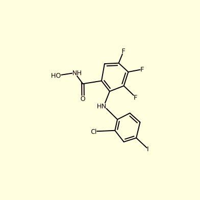 O=C(NO)c1cc(F)c(F)c(F)c1Nc1ccc(I)cc1Cl